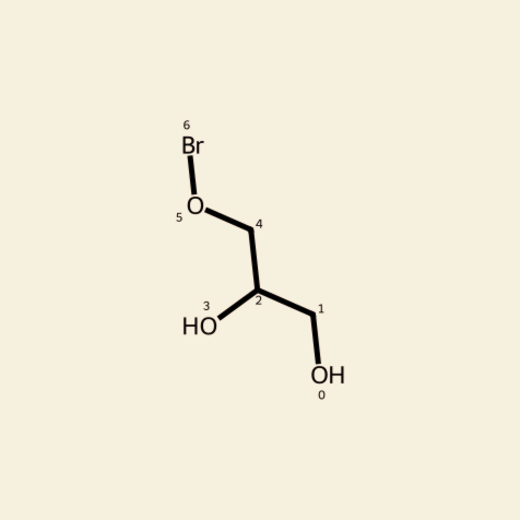 OCC(O)COBr